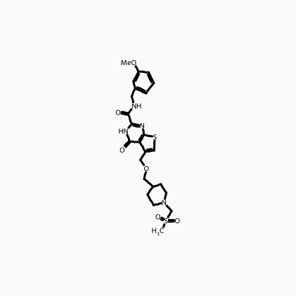 COc1cccc(CNC(=O)c2nc3scc(COCC4CCN(CS(C)(=O)=O)CC4)c3c(=O)[nH]2)c1